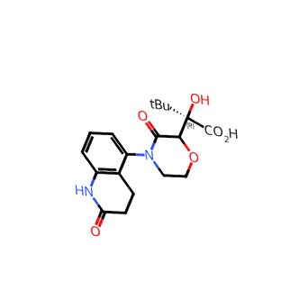 CC(C)(C)[C@](O)(C(=O)O)C1OCCN(c2cccc3c2CCC(=O)N3)C1=O